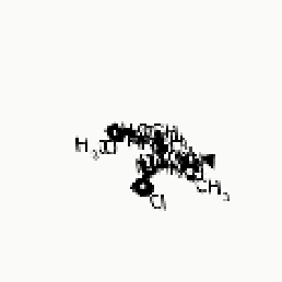 CCC[C@H](NC(=O)[C@@H]1C[C@]2(CC(c3cccc(Cl)c3)=NO2)CN1C(=O)[C@@H](NC(=O)OCc1cccc(OC)c1)C(C)(C)C)C(=O)C(=O)NC1CC1